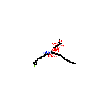 CCCCCCCCCCCCCC[C@@H](O)[C@@H](O)[C@H](COC[C@@H](O)[C@@H](O)[C@@H](O)[C@H](C)COCC)NC(=O)CCCCCCCc1ccc(F)cc1